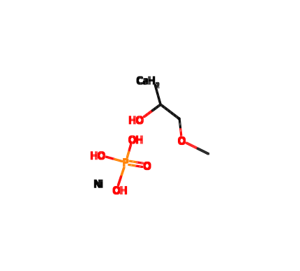 COCC(C)O.O=P(O)(O)O.[CaH2].[Ni]